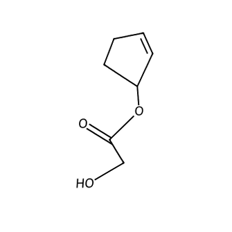 O=C(CO)OC1C=CCC1